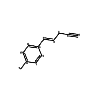 C#CCC=Cc1ccc(C)cc1